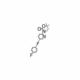 CC1(C)CCN(c2ccc(C#Cc3ccc(F)cc3)cn2)C(=O)O1